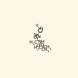 C[C@H](NC(=O)OC(C)(C)C)c1nc(-c2ccnc(C3CC3)c2)no1